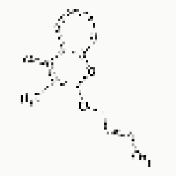 CC=CCOc1oc2ccccc2c(=O)c1C